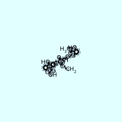 C=CCOC(=O)N[C@@H](Cc1ccc(N(C(=O)C(=O)O)c2ccccc2C(=O)O)cc1)C(=O)NCCOCCOc1cccc(O)c1C(=O)OC